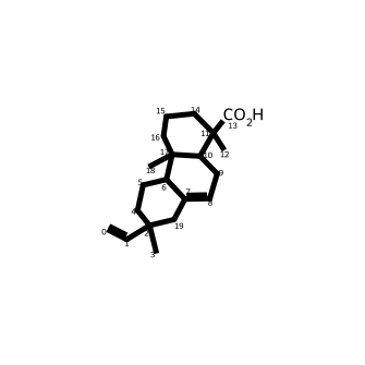 C=CC1(C)CCC2C(=CCC3C(C)(C(=O)O)CCCC23C)C1